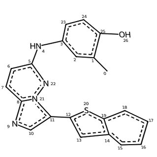 Cc1cc(Nc2ccc3ncc(-c4cc5ccccc5s4)n3n2)ccc1O